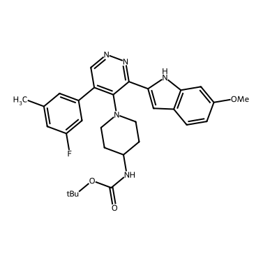 COc1ccc2cc(-c3nncc(-c4cc(C)cc(F)c4)c3N3CCC(NC(=O)OC(C)(C)C)CC3)[nH]c2c1